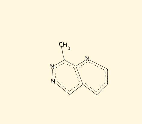 Cc1nncc2cccnc12